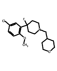 COc1ccc(Cl)cc1C1(F)CCN(CC2CCOCC2)CC1